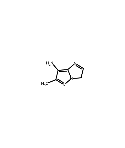 Cc1nn2c(c1N)N=CC2